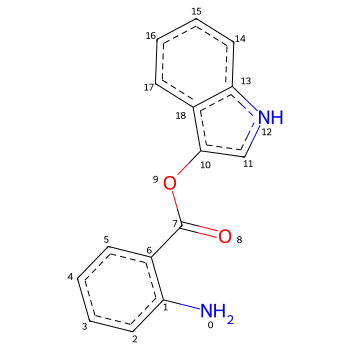 Nc1ccccc1C(=O)Oc1c[nH]c2ccccc12